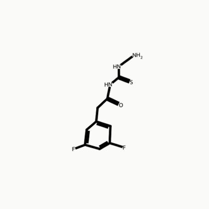 NNC(=S)NC(=O)Cc1cc(F)cc(F)c1